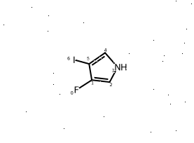 Fc1c[nH]cc1I